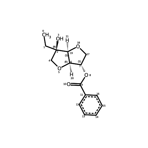 CC[C@@]1(O)CO[C@@H]2[C@@H](OC(=O)c3ccccc3)CO[C@@H]21